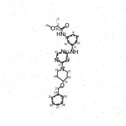 CO[C@H](C)C(=O)Nc1cccc(Nc2ncnc(N3CCC(OCc4ccccc4)CC3)n2)c1